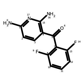 Nc1ccc(C(=O)c2c(F)cccc2F)c(N)n1